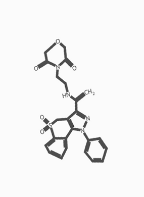 C=C(NCCN1C(=O)COCC1=O)c1nn(-c2ccccc2)c2c1CS(=O)(=O)c1ccccc1-2